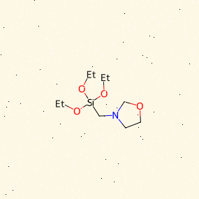 CCO[Si](CN1CCOC1)(OCC)OCC